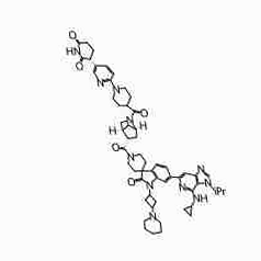 CC(C)n1cnc2cc(-c3ccc4c(c3)N(C3CC(N5CCCCC5)C3)C(=O)C43CCN(C(=O)[C@H]4C[C@H]5C[C@@H]4CN5C(=O)C4CCN(c5ccc([C@H]6CCC(=O)NC6=O)cn5)CC4)CC3)nc(NC3CC3)c21